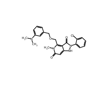 CN(C)c1cccc(COCc2c3c(=O)n(-c4ccccc4Cl)[nH]c3cc(=O)n2C)c1